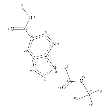 COC(=O)c1cnc2c(ccn2CC(=O)OC(C)(C)C)c1